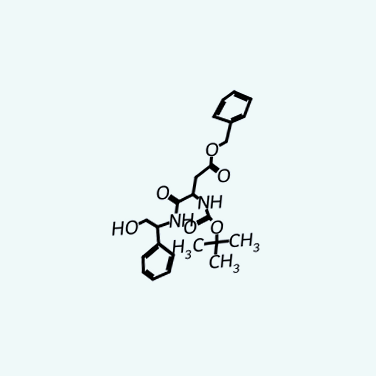 CC(C)(C)OC(=O)NC(CC(=O)OCc1ccccc1)C(=O)NC(CO)c1ccccc1